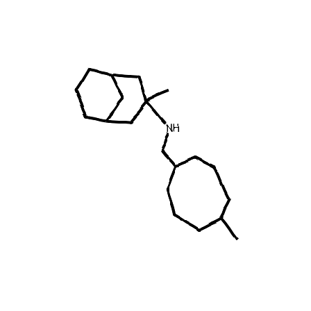 CC1CCCC(CNC2(C)CC3CCCC(C3)C2)CCC1